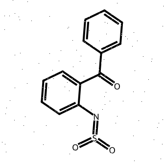 O=C(c1ccccc1)c1ccccc1N=S(=O)=O